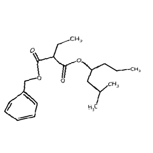 CCCC(CC(C)C)OC(=O)C(CC)C(=O)OCc1ccccc1